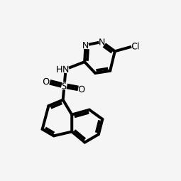 O=S(=O)(Nc1ccc(Cl)nn1)c1cccc2ccccc12